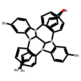 CCC(C)c1ccc(N2c3ccc(C(C)(C)C)cc3N(c3ccc(C(C)CC)cc3)C2C2N(c3ccc(C(C)CC)cc3)c3ccc(C(C)(C)C)cc3N2c2ccc(C(C)CC)cc2)cc1